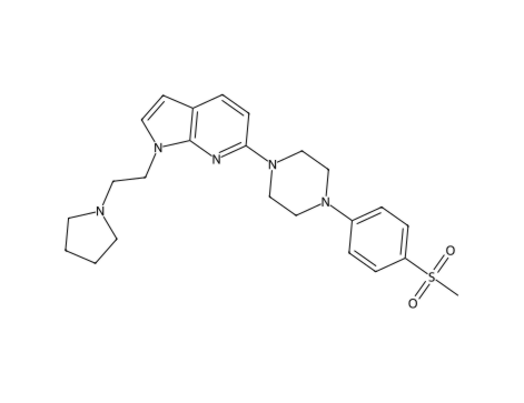 CS(=O)(=O)c1ccc(N2CCN(c3ccc4ccn(CCN5CCCC5)c4n3)CC2)cc1